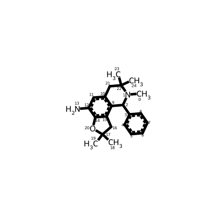 CN1C(c2ccccc2)c2c(cc(N)c3c2CC(C)(C)O3)CC1(C)C